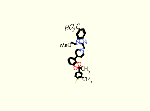 COCCn1c(CN2CCC(c3cccc4c3OC(C)(c3ccc(F)c(C)c3)O4)CC2)nc2ccc(C(=O)O)cc21